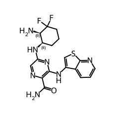 NC(=O)c1ncc(N[C@@H]2CCCC(F)(F)[C@@H]2N)nc1Nc1csc2ncccc12